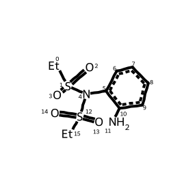 CCS(=O)(=O)N(c1ccccc1N)S(=O)(=O)CC